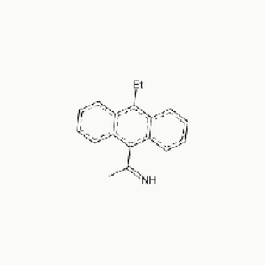 CCc1c2ccccc2c(C(C)=N)c2ccccc12